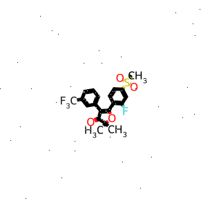 CC1(C)OC(c2ccc(S(C)(=O)=O)cc2F)=C(c2cccc(C(F)(F)F)c2)C1=O